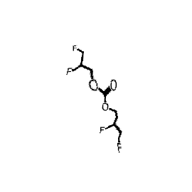 O=C(OCC(F)CF)OCC(F)CF